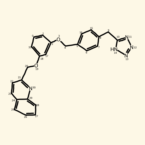 c1cc(OCc2ccc(Cc3nnn[nH]3)cc2)cc(OCc2ccc3ccccc3n2)c1